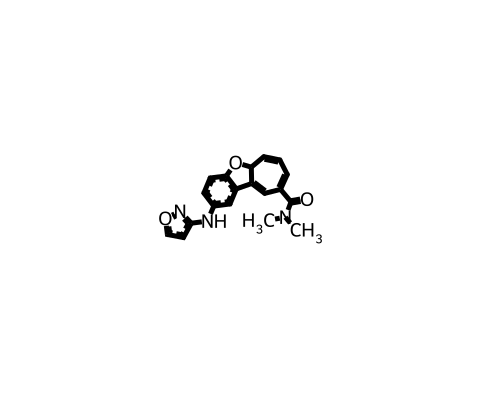 CN(C)C(=O)C1=CC=CC2Oc3ccc(Nc4ccon4)cc3C2=C1